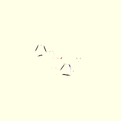 COc1nccc(O)c1C(=O)OCc1ccccc1